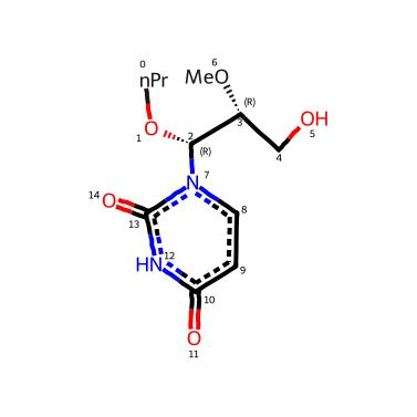 CCCO[C@H]([C@@H](CO)OC)n1ccc(=O)[nH]c1=O